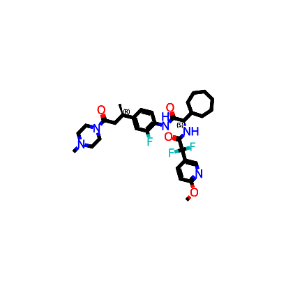 COc1ccc(C(F)(F)C(=O)N[C@H](C(=O)Nc2ccc([C@H](C)CC(=O)N3CCN(C)CC3)cc2F)C2CCCCCC2)cn1